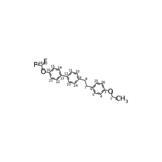 CCOc1ccc(CCc2ccc(-c3ccc(OC(F)F)cc3)cc2)cc1